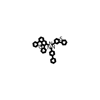 c1ccc(-c2ccc(-c3nc(-c4ccc5sc6ccccc6c5c4)nc(-c4cc5cccc(-c6ccccc6)c5c5oc6ccccc6c45)n3)cc2)cc1